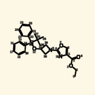 CCOC(=O)c1coc(N2CC(O[Si](c3ccccc3)(c3ccccc3)C(C)(C)C)C2)n1